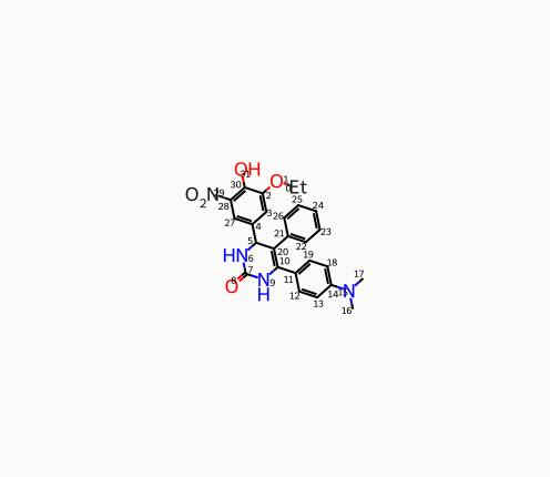 CCOc1cc(C2NC(=O)NC(c3ccc(N(C)C)cc3)=C2c2ccccc2)cc([N+](=O)[O-])c1O